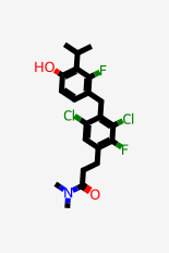 CC(C)c1c(O)ccc(Cc2c(Cl)cc(CCC(=O)N(C)C)c(F)c2Cl)c1F